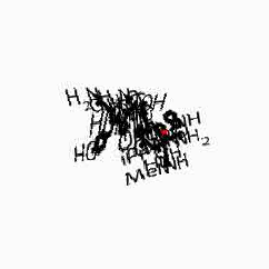 CNC(=N)NCCC[C@H](NC(=O)[C@H](CC(C)C)NC(=O)[C@@H]1CCN1C(=O)[C@H](Cc1ccccc1)NC(=O)[C@@H](NC(=O)[C@H](CC(N)=O)NC(=O)[C@@H]1C[C@@H](O)CN1C(=O)[C@@H](Cc1ccc(O)cc1)NC(=O)CNC(=O)CN)[C@@H](C)O)C(=O)N[C@@H](Cc1c[nH]c2ccccc12)C(N)=O